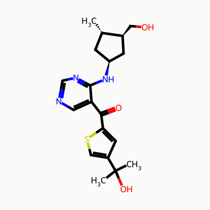 C[C@H]1C[C@H](Nc2ncncc2C(=O)c2cc(C(C)(C)O)cs2)C[C@@H]1CO